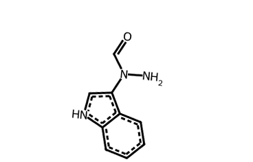 NN(C=O)c1c[nH]c2ccccc12